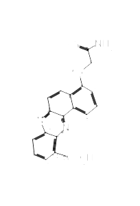 NC(=O)COc1cccc2c1ccc1nc3cccc(C(=O)O)c3nc12